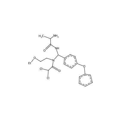 CCOCCN(C(=O)C(Cl)Cl)C(NC(=O)C(C)N)c1ccc(Oc2ccccc2)cc1